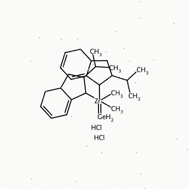 CC(C)C1CC2CC=CC=C2[CH]1[Zr]([CH3])([CH3])(=[GeH2])[CH]1C2=CC=CCC2CC1C(C)C.Cl.Cl